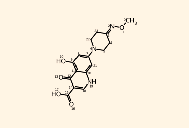 CON=C1CCN(c2cc(O)c3c(=O)c(C(=O)O)c[nH]c3c2)CC1